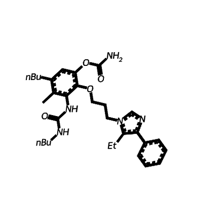 CCCCNC(=O)Nc1c(C)c(CCCC)cc(OC(N)=O)c1OCCCn1cnc(-c2ccccc2)c1CC